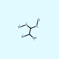 CCOC(OCC)C(O)CC